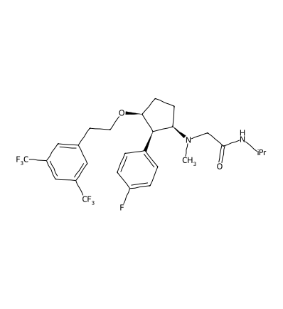 CC(C)NC(=O)CN(C)[C@@H]1CC[C@H](OCCc2cc(C(F)(F)F)cc(C(F)(F)F)c2)[C@@H]1c1ccc(F)cc1